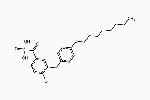 CCCCCCCCOc1ccc(Cc2cc(C(=O)P(=O)(O)O)ccc2O)cc1